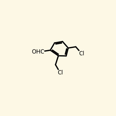 O=Cc1ccc(CCl)cc1CCl